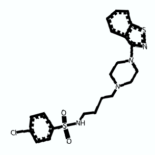 O=S(=O)(NCCCCN1CCN(c2nsc3ccccc23)CC1)c1ccc(Cl)cc1